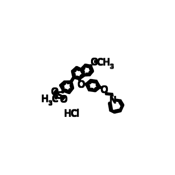 COc1ccc2c(Oc3ccc(OCCN4C=CC=CC=C4)cc3)c(-c3ccc(S(C)(=O)=O)cc3)ccc2c1.Cl